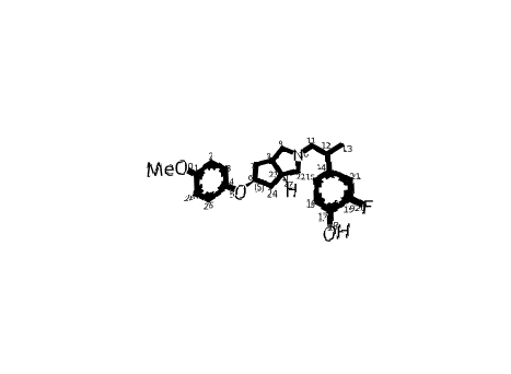 COc1ccc(O[C@H]2CC3CN(CC(C)c4ccc(O)c(F)c4)C[C@H]3C2)cc1